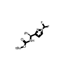 CC(C)[C@H](NC(=O)OC(C)(C)C)c1ccn(C(F)F)n1